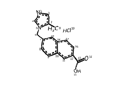 Cc1cncn1Cc1ccc2cc(C(=O)O)ccc2c1.Cl